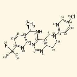 C[C@@H](Nc1ncnc2c1CN(c1ccc(Cl)cn1)CC2)c1ccc(C(F)(F)F)nc1